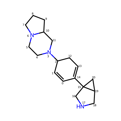 C1=CC(N2CCN3CCCC3C2)CC=C1C12CNCC1C2